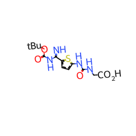 CC(C)(C)OC(=O)NC(=N)c1ccc(NC(=O)NCC(=O)O)s1